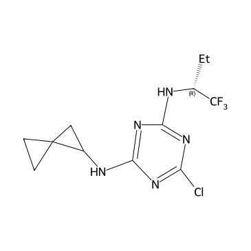 CC[C@@H](Nc1nc(Cl)nc(NC2CC23CC3)n1)C(F)(F)F